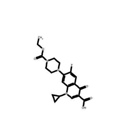 CCOC(=O)N1CCN(c2cc3c(cc2F)c(=O)c(C(=O)O)cn3C2CC2)CC1